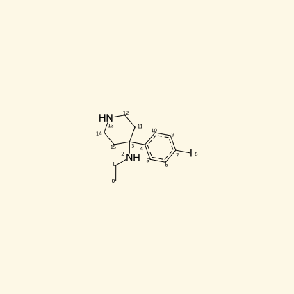 CCNC1(c2ccc(I)cc2)CCNCC1